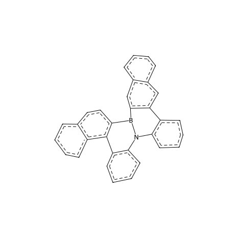 c1ccc2c(c1)-c1cc3ccccc3cc1B1c3ccc4ccccc4c3-c3ccccc3N12